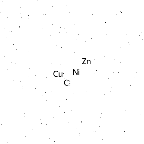 [C].[Cu].[Ni].[Zn]